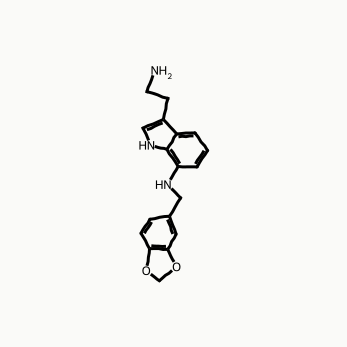 NCCc1c[nH]c2c(NCc3ccc4c(c3)OCO4)cccc12